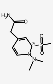 CN(C)N1C=CC([CH]C(N)=O)=C[C@@H]1S(C)(=O)=O